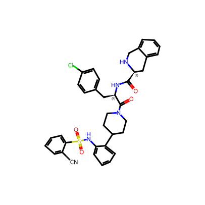 N#Cc1ccccc1S(=O)(=O)Nc1ccccc1C1CCN(C(=O)[C@@H](Cc2ccc(Cl)cc2)NC(=O)[C@@H]2Cc3ccccc3CN2)CC1